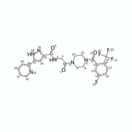 O=C(NCC(=O)N1CCN(C(=O)c2cc(F)ccc2C(F)(F)F)CC1)c1cc(-c2ccccn2)[nH]n1